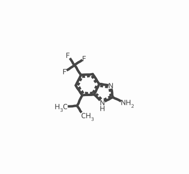 CC(C)c1cc(C(F)(F)F)cc2nc(N)[nH]c12